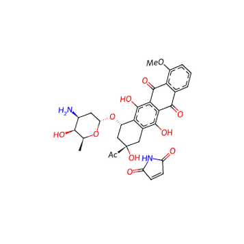 COc1cccc2c1C(=O)c1c(O)c3c(c(O)c1C2=O)C[C@@](O)(C(C)=O)C[C@@H]3O[C@H]1C[C@H](N)[C@H](O)[C@H](C)O1.O=C1C=CC(=O)N1